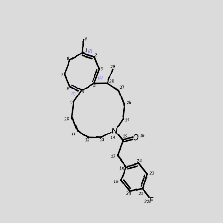 C/C1=C/C=C2\C(=C/CC1)CCCCCN(C(=O)Cc1ccc(F)cc1)CCCC2C